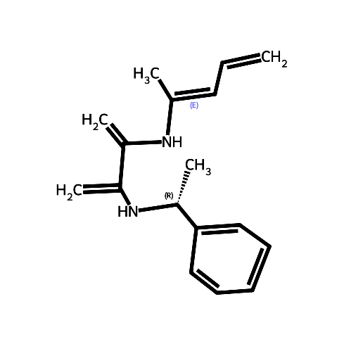 C=C/C=C(\C)NC(=C)C(=C)N[C@H](C)c1ccccc1